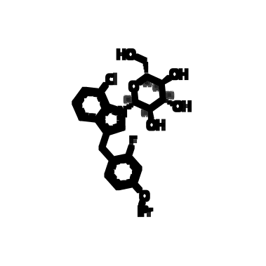 CC(C)Oc1ccc(Cc2cn([C@@H]3O[C@H](CO)[C@@H](O)[C@H](O)[C@H]3O)c3c(Cl)cccc23)c(F)c1